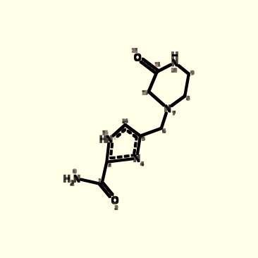 NC(=O)c1nc(CN2CCNC(=O)C2)c[nH]1